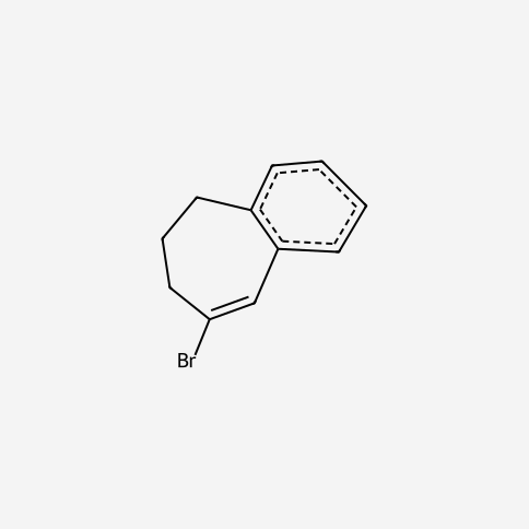 BrC1=Cc2ccccc2CCC1